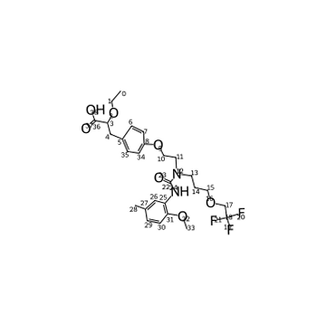 CCOC(Cc1ccc(OCCN(CCCOCC(F)(F)F)C(=O)Nc2cc(C)ccc2OC)cc1)C(=O)O